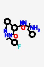 C[C@@H](NC(=O)c1cc(-c2nnc([C@](C)(N)Cc3ccccc3)o2)cc(-c2ccccc2C#N)c1)c1ccc(F)cc1